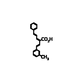 Cc1cccc(C=CC(=CC=Cc2ccccc2)C(=O)O)c1